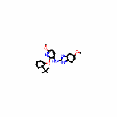 COc1ccc2[nH]c(Nc3ccc(OC)nc3Oc3ccccc3C(C)(C)C)nc2c1